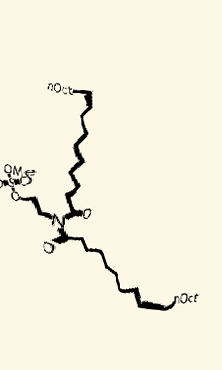 CCCCCCCC/C=C\CCCCCCCC(=O)N(CCOS(=O)(=O)OC)C(=O)CCCCCCC/C=C\CCCCCCCC